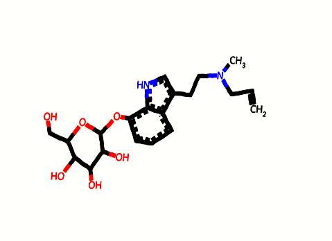 C=CCN(C)CCc1c[nH]c2c(OC3OC(CO)C(O)C(O)C3O)cccc12